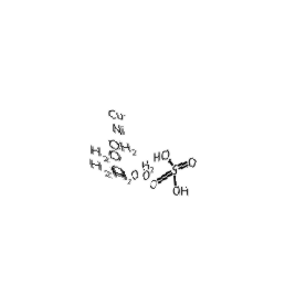 O.O.O.O.O.O=S(=O)(O)O.[Cu].[Ni]